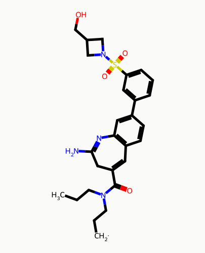 [CH2]CCN(CCC)C(=O)C1=Cc2ccc(-c3cccc(S(=O)(=O)N4CC(CO)C4)c3)cc2N=C(N)C1